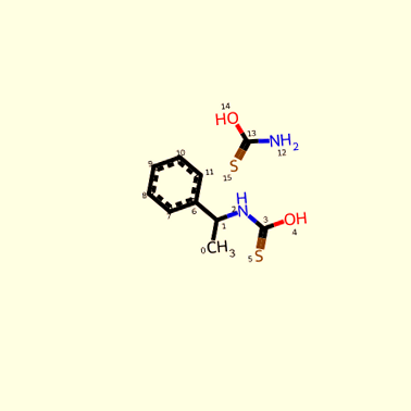 CC(NC(O)=S)c1ccccc1.NC(O)=S